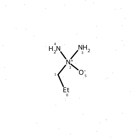 CCC[N+](N)(N)[O-]